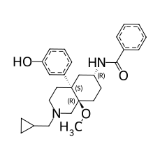 CO[C@]12CC[C@@H](NC(=O)c3ccccc3)C[C@]1(c1cccc(O)c1)CCN(CC1CC1)C2